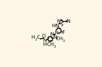 C=CC(=O)Nc1cc2nc(N3C[C@@H](F)C[C@@H](Nc4ncc(C#N)s4)C3)n(C)c2cc1C